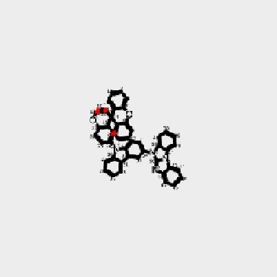 c1ccc2c(c1)Oc1ccccc1C21c2ccccc2Oc2ccc(-n3c4ccccc4c4cc(-n5c6ccccc6n6c7ccccc7nc56)ccc43)cc21